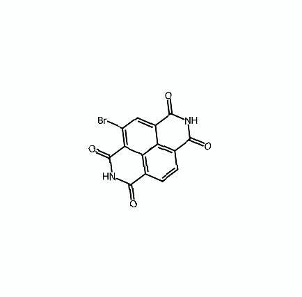 O=C1NC(=O)c2cc(Br)c3c4c(ccc1c24)C(=O)NC3=O